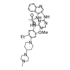 CCc1cc(Nc2ncnc(Nc3cnc4ccccc4c3NS(C)(=O)=O)n2)c(OC)cc1N1CCC(N2CCN(C)CC2)CC1